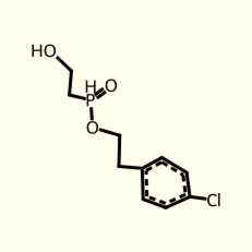 O=[PH](CCO)OCCc1ccc(Cl)cc1